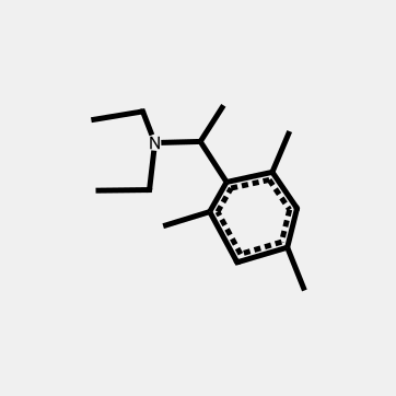 CCN(CC)C(C)c1c(C)cc(C)cc1C